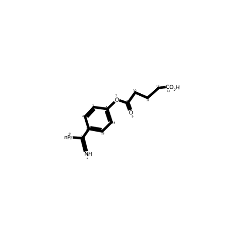 CCCC(=N)c1ccc(OC(=O)CCCC(=O)O)cc1